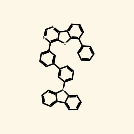 c1ccc(-c2cccc3c2oc2c(-c4cccc(-c5cccc(-n6c7ccccc7c7ccccc76)c5)c4)ncnc23)cc1